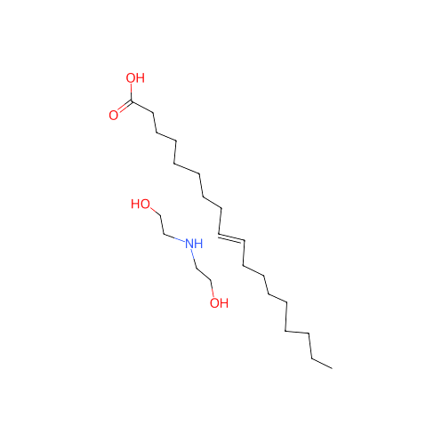 CCCCCCCCC=CCCCCCCCC(=O)O.OCCNCCO